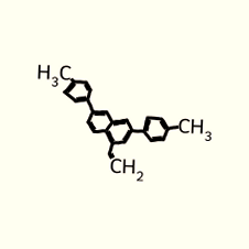 C=Cc1cc(-c2ccc(C)cc2)cc2cc(-c3ccc(C)cc3)ccc12